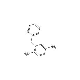 Nc1ccc(N)c(Cc2ccccn2)c1